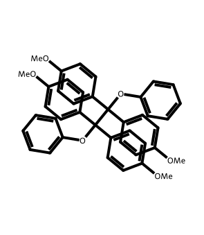 COc1ccc(C(Oc2ccccc2)(c2ccc(OC)cc2)C(Oc2ccccc2)(c2ccc(OC)cc2)c2ccc(OC)cc2)cc1